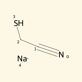 N#CCS.[Na]